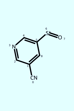 N#Cc1cncc([S+]=O)c1